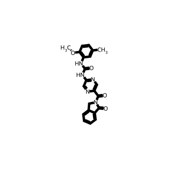 COc1ccc(C)cc1NC(=O)Nc1cnc(C(=O)N2Cc3ccccc3C2=O)cn1